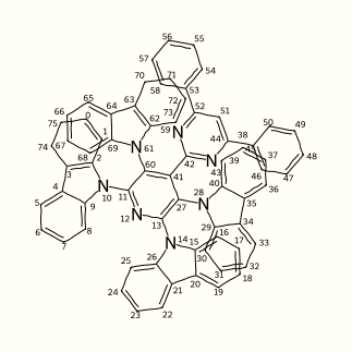 C1=Cc2c(c3ccccc3n2-c2nc(-n3c4ccccc4c4ccccc43)c(-n3c4ccccc4c4ccccc43)c(-c3nc(-c4ccccc4)cc(-c4ccccc4)n3)c2-n2c3c(c4ccccc42)CCC=C3)CC1